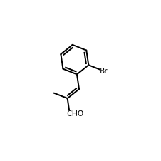 CC(C=O)=Cc1ccccc1Br